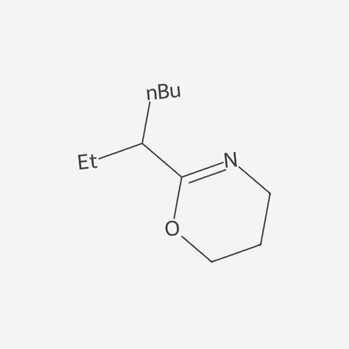 CCCCC(CC)C1=NCCCO1